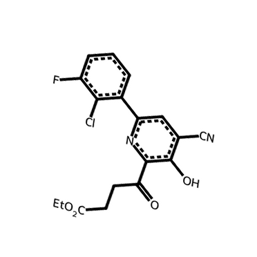 CCOC(=O)CCC(=O)c1nc(-c2cccc(F)c2Cl)cc(C#N)c1O